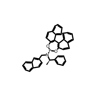 C[C@H](c1ccccc1)N(Cc1ccc2ccccc2c1)p1oc2ccc3ccccc3c2c2c(ccc3ccccc32)o1